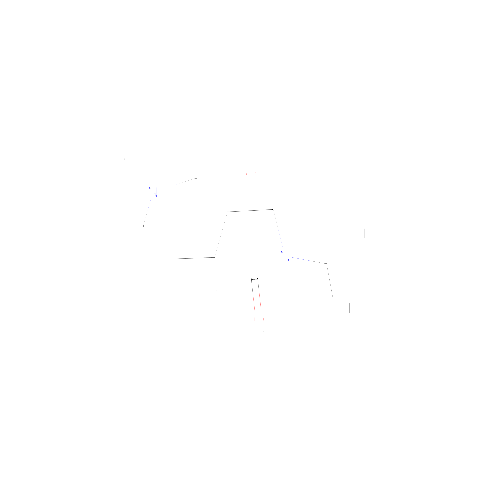 CC(C)N1C[C@]2(O)CN(C)CC[C@@H]2C1=O